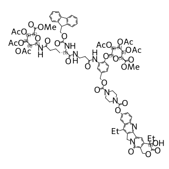 CCc1c2c(nc3ccc(OC(=O)N4CCN(C(=O)OCc5ccc(O[C@@H]6O[C@H](C(=O)OC)[C@@H](OC(C)=O)[C@H](OC(C)=O)[C@H]6OC(C)=O)c(NC(=O)CCNC(=O)[C@H](CCCC(=O)N[C@H]6O[C@H](C(=O)OC)[C@@H](OC(C)=O)[C@H](OC(C)=O)[C@H]6OC(C)=O)NC(=O)OCC6c7ccccc7-c7ccccc76)c5)CC4)cc13)-c1cc3c(c(=O)n1C2)COC(=O)[C@]3(O)CC